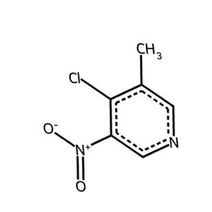 Cc1cncc([N+](=O)[O-])c1Cl